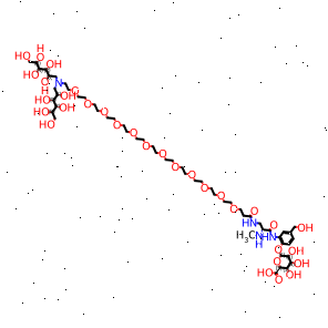 CNC(CNC(=O)CCOCCOCCOCCOCCOCCOCCOCCOCCOCCOCCOCCOCCN(C[C@H](O)[C@@H](O)[C@H](O)[C@H](O)CO)C[C@H](O)[C@@H](O)[C@H](O)[C@H](O)CO)C(=O)Nc1cc(CO)ccc1O[C@@H]1O[C@H](C(=O)O)[C@@H](O)[C@H](O)[C@H]1O